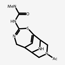 CNC(=O)NC1=NCC2C=C(S1)C1CN(C(C)=O)CC2N1